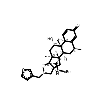 CCCCOC(=O)[C@@]12ON(Cc3ccoc3)C[C@@H]1C[C@H]1[C@@H]3C[C@H](C)C4=CC(=O)C=C[C@]4(C)[C@@]3(C)[C@@H](O)C[C@@]12C